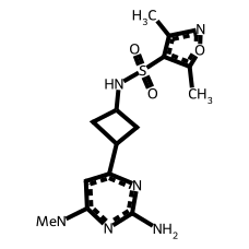 CNc1cc(C2CC(NS(=O)(=O)c3c(C)noc3C)C2)nc(N)n1